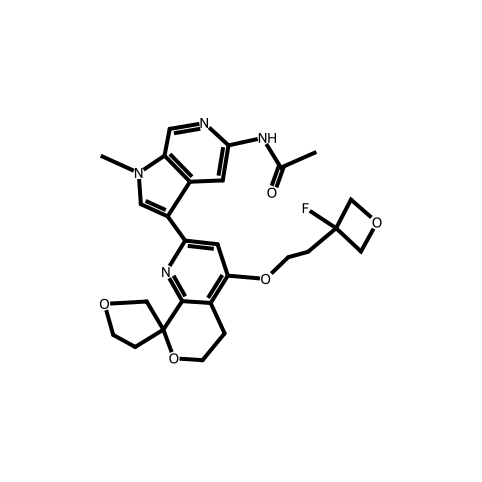 CC(=O)Nc1cc2c(-c3cc(OCCC4(F)COC4)c4c(n3)C3(CCOC3)OCC4)cn(C)c2cn1